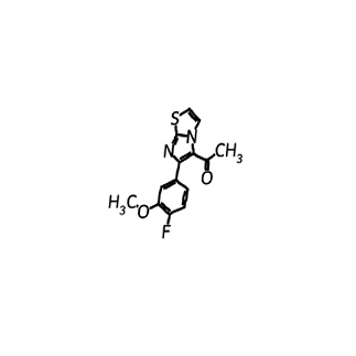 COc1cc(-c2nc3sccn3c2C(C)=O)ccc1F